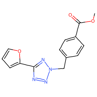 COC(=O)c1ccc(Cn2nnc(-c3ccco3)n2)cc1